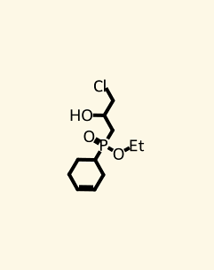 CCOP(=O)(CC(O)CCl)C1CC=CCC1